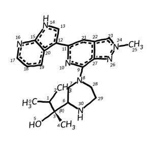 CC(C)[C@@](C)(O)C1CN(c2nc(-c3c[nH]c4ncccc34)cc3cn(C)nc23)CCN1